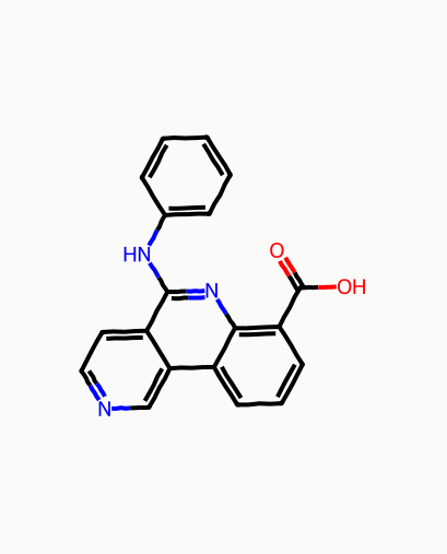 O=C(O)c1cccc2c1nc(Nc1ccccc1)c1ccncc12